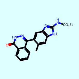 CCOC(=O)Nc1nc2cc(-c3n[nH]c(=O)c4ccccc34)c(C)cc2[nH]1